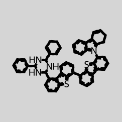 C1=CC(C2NC(c3ccccc3)NC(c3cccc4sc5c(-c6cccc7c6sc6c(-n8c9c(c%10ccccc%108)C=CCC9)cccc67)cccc5c34)N2)=CCC1